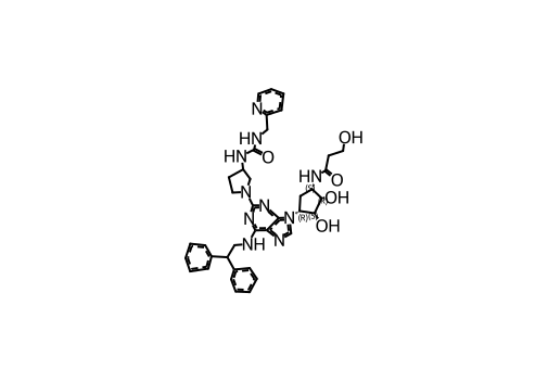 O=C(CCO)N[C@H]1C[C@@H](n2cnc3c(NCC(c4ccccc4)c4ccccc4)nc(N4CCC(NC(=O)NCc5ccccn5)C4)nc32)[C@H](O)[C@@H]1O